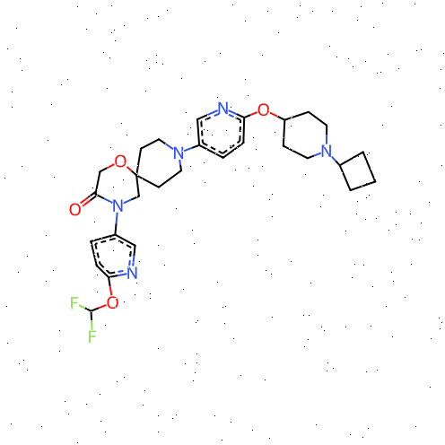 O=C1COC2(CCN(c3ccc(OC4CCN(C5CCC5)CC4)nc3)CC2)CN1c1ccc(OC(F)F)nc1